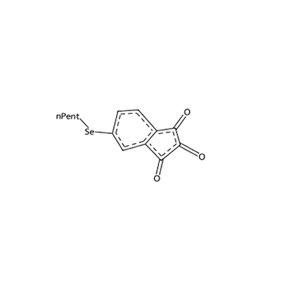 CCCCC[Se]c1ccc2c(=O)c(=O)c(=O)c2c1